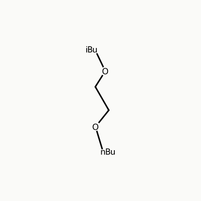 CCCCOCCOC(C)CC